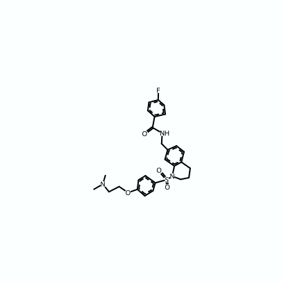 CN(C)CCOc1ccc(S(=O)(=O)N2CCCc3ccc(CNC(=O)c4ccc(F)cc4)cc32)cc1